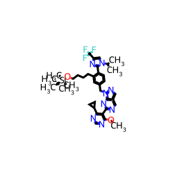 COc1ncnc(C2CC2)c1-c1ncc2cnn(Cc3ccc(-c4nc(C(F)(F)F)cn4C(C)C)c(CCCCO[Si](C)(C)C(C)(C)C)c3)c2n1